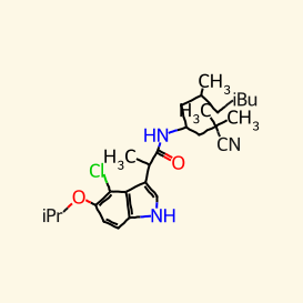 CCC(C)CC(C)CC(CC(C)(C)C#N)NC(=O)C(C)c1c[nH]c2ccc(OC(C)C)c(Cl)c12